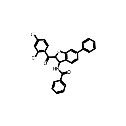 O=C(NC1c2ccc(-c3ccccc3)cc2OC1C(=O)c1ccc(Cl)cc1Cl)c1ccccc1